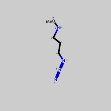 CONCCCN=[N+]=[N-]